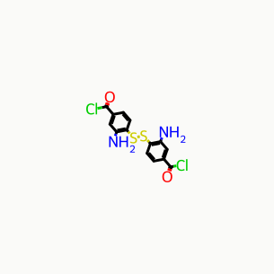 Nc1cc(C(=O)Cl)ccc1SSc1ccc(C(=O)Cl)cc1N